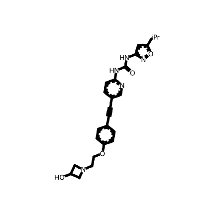 CC(C)c1cc(NC(=O)Nc2ccc(C#Cc3ccc(OCCN4CC(O)C4)cc3)cn2)no1